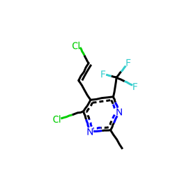 Cc1nc(Cl)c(C=CCl)c(C(F)(F)F)n1